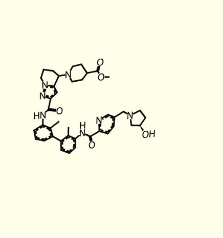 COC(=O)C1CCN(C2CCCn3nc(C(=O)Nc4cccc(-c5cccc(NC(=O)c6ccc(CN7CC[C@@H](O)C7)cn6)c5C)c4C)cc32)CC1